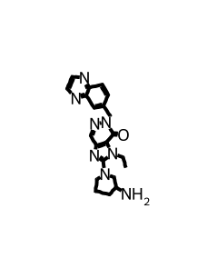 CCn1c(N2CCCC(N)C2)nc2cnn(Cc3ccc4nccnc4c3)c(=O)c21